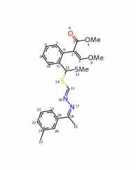 COC=C(C(=O)OC)c1ccccc1C(SC)SC=NN=C(C)c1cccc(C)c1